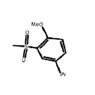 COc1ccc(C(C)C)cc1S(C)(=O)=O